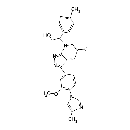 COc1cc(-c2nnc3n(C(CO)c4ccc(C)cc4)cc(Cl)cc2-3)ccc1-n1cnc(C)c1